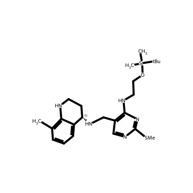 CSc1ncc(CN[C@H]2CCNc3c(C)cccc32)c(NCCO[Si](C)(C)C(C)(C)C)n1